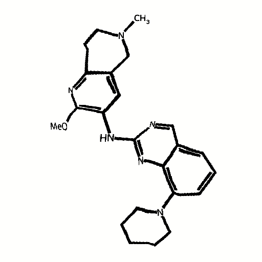 COc1nc2c(cc1Nc1ncc3cccc(N4CCCCC4)c3n1)CN(C)CC2